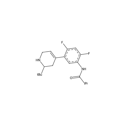 CC(C)C(=O)Nc1cc(C2=CCNC(C(C)(C)C)C2)c(F)cc1F